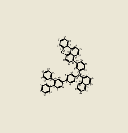 c1ccc(-c2ccc(-c3ccc(N(c4cccc(-c5ccc6c7c(cccc57)-c5ccccc5O6)c4)c4cccc5ccccc45)cc3)cc2-c2ccccc2)cc1